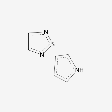 c1cc[nH]c1.c1cnsn1